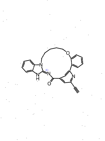 C#Cc1cc2cc(n1)-c1ccccc1OCCCCCN1/C(=N/C2=O)Nc2ccccc21